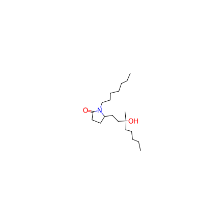 CCCCCCCN1C(=O)CCC1CCC(C)(O)CCCCC